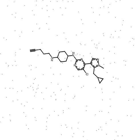 C#CCCCNC1CCC(Nc2ncc(Cl)c(-c3cnn(C)c3CC3CC3)n2)CC1